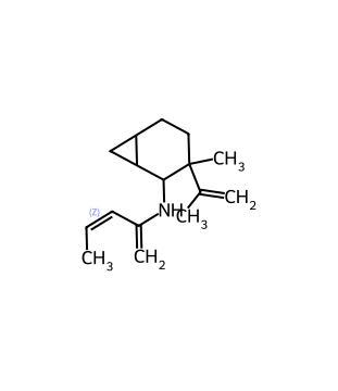 C=C(/C=C\C)NC1C2CC2CCC1(C)C(=C)C